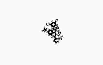 CC(C)(C)Oc1ccc([C@H](NS(=O)(=O)c2cc(Cl)cc(Cl)c2)[C@H](C(=O)O)C(=O)C2CCCN2)cc1